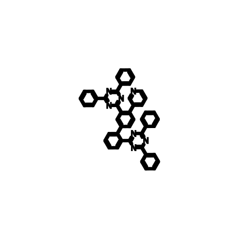 c1ccc(-c2nc(-c3ccccc3)nc(-c3ccccc3-c3ccc(-c4cccnc4)c(-c4nc(-c5ccccc5)nc(-c5ccccc5)n4)c3)n2)cc1